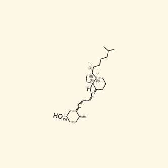 C=C1CC[C@H](O)CC1=C=CC=C=C1CCC[C@]2(C)[C@@H]([C@H](C)CCCC(C)C)CC[C@@H]12